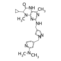 Cc1nc(NCc2cnn(Cc3ccnc(N(C)C)c3)c2)nc2c1NC(=O)C(C1CC1)N2C